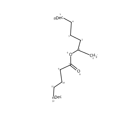 [CH2]C(CCCCCCCCCCCCC)OC(=O)CCCCCCCCCCCCC